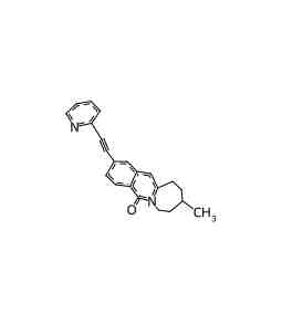 CC1CCc2cc3cc(C#Cc4ccccn4)ccc3c(=O)n2CC1